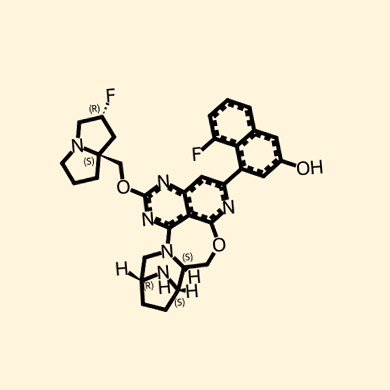 Oc1cc(-c2cc3nc(OC[C@@]45CCCN4C[C@H](F)C5)nc4c3c(n2)OC[C@@H]2[C@@H]3CC[C@H](CN42)N3)c2c(F)cccc2c1